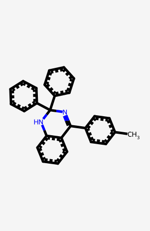 Cc1ccc(C2=NC(c3ccccc3)(c3ccccc3)Nc3ccccc32)cc1